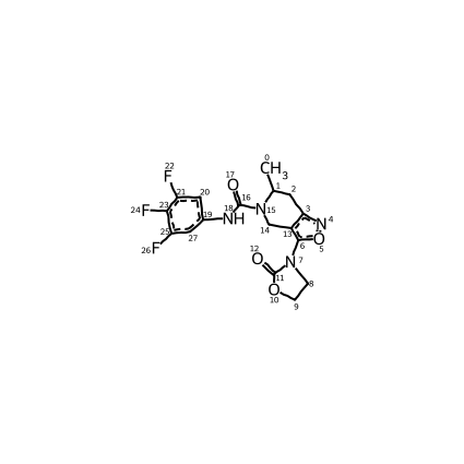 CC1Cc2noc(N3CCOC3=O)c2CN1C(=O)Nc1cc(F)c(F)c(F)c1